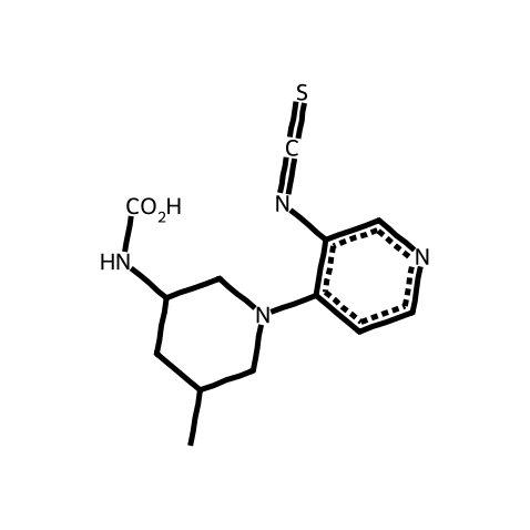 CC1CC(NC(=O)O)CN(c2ccncc2N=C=S)C1